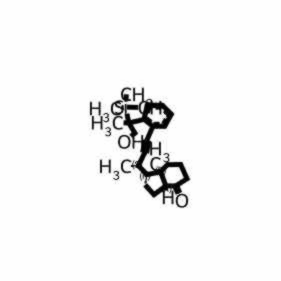 C[C@H](C#Cc1ccccc1C(C)(CO)[Si](C)(C)C)[C@H]1CC[C@H]2C(=O)CCC[C@]12C